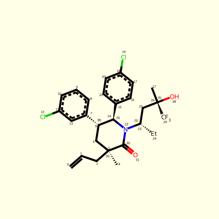 C=CC[C@@]1(C)C[C@H](c2cccc(Cl)c2)[C@@H](c2ccc(Cl)cc2)N([C@@H](CC)C[C@](C)(O)C(F)(F)F)C1=O